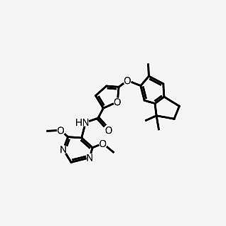 COc1ncnc(OC)c1NC(=O)c1ccc(Oc2cc3c(cc2C)CCC3(C)C)o1